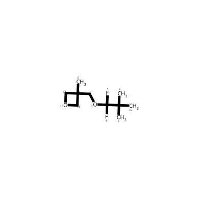 CC1(COC(F)(F)C(C)(C)C)COC1